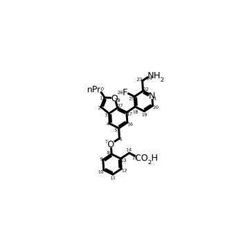 CCCc1cc2cc(COc3ccccc3CC(=O)O)cc(-c3ccnc(CN)c3F)c2o1